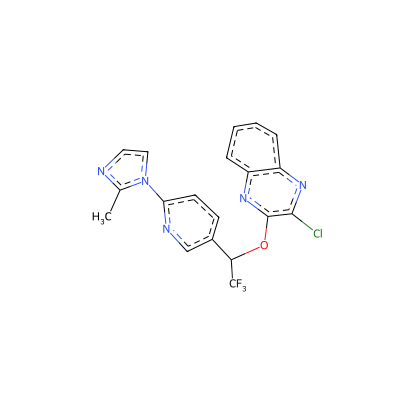 Cc1nccn1-c1ccc(C(Oc2nc3ccccc3nc2Cl)C(F)(F)F)cn1